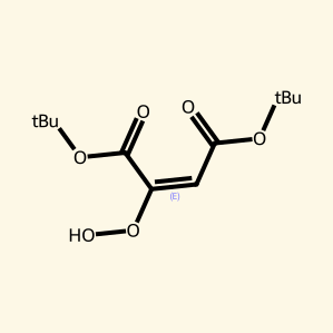 CC(C)(C)OC(=O)/C=C(/OO)C(=O)OC(C)(C)C